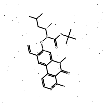 C=Cc1cc2c3ccnc(C)c3c(=O)n(C)c2cc1ON(C(=O)OC(C)(C)C)[C@@H](C)CC(C)C